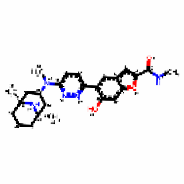 CNC(=O)c1cc2cc(-c3ccc(N(C)[C@@H]4C[C@]5(C)CCC[C@](C)(C4)N5)nn3)c(O)cc2o1